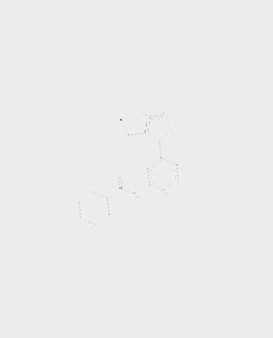 CC1(C)Cc2c(-c3cc(NC(=O)C4CCCCC4)ncc3F)cnn2C1